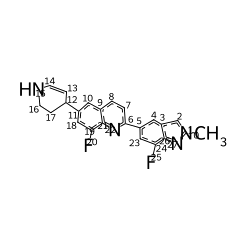 Cn1cc2cc(-c3ccc4cc(C5C=CNCC5)cc(F)c4n3)cc(F)c2n1